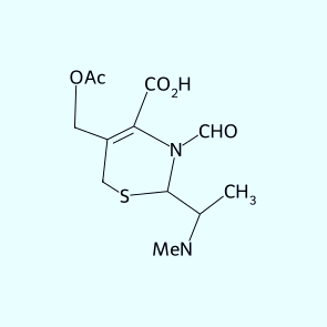 CNC(C)C1SCC(COC(C)=O)=C(C(=O)O)N1C=O